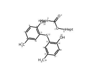 CCCCCCCOC(=O)CCCCCCC.Cc1ccc(O)c(Sc2cc(C)ccc2O)c1